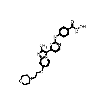 Cc1nc2cc(OCCN3CCOCC3)ccn2c1-c1ccnc(Nc2ccc(C(=O)NO)cc2)n1